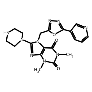 Cn1c(=O)c2c(nc(N3CCNCC3)n2Cc2nnc(-c3cccnc3)o2)n(C)c1=O